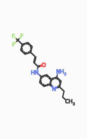 CCCc1cc(N)c2cc(NC(=O)C=Cc3ccc(C(F)(F)F)cc3)ccc2n1